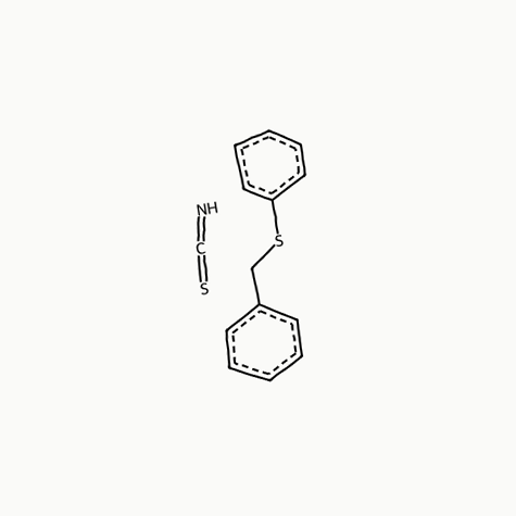 N=C=S.c1ccc(CSc2ccccc2)cc1